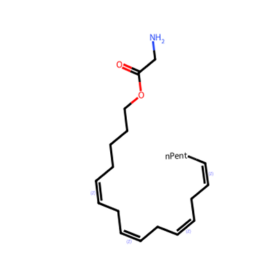 CCCCC/C=C\C/C=C\C/C=C\C/C=C\CCCCOC(=O)CN